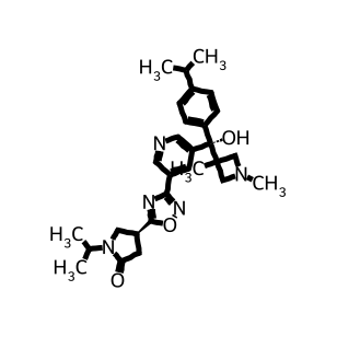 CC(C)c1ccc([C@](O)(c2cncc(-c3noc([C@H]4CC(=O)N(C(C)C)C4)n3)c2)C2(C)CN(C)C2)cc1